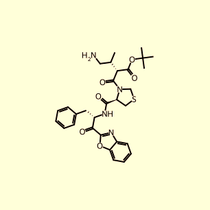 CC(CN)[C@H](C(=O)OC(C)(C)C)C(=O)N1CSC[C@H]1C(=O)N[C@@H](Cc1ccccc1)C(=O)c1nc2ccccc2o1